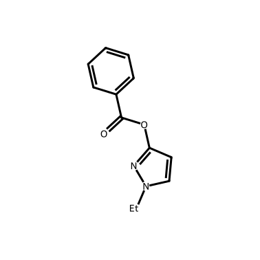 CCn1ccc(OC(=O)c2ccccc2)n1